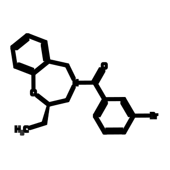 CC[C@@H]1CN(C(=O)c2cccc(Br)c2)Cc2ccccc2O1